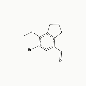 COc1c(Br)cc(C=O)c2c1CCC2